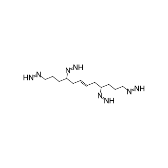 N=NCCCC(CC=CCC(CCCN=N)N=N)N=N